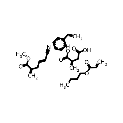 C=C(CC(=O)O)C(=O)O.C=C(CC=CC#N)C(=O)OC.C=CC(=O)OCCCC.C=Cc1ccccc1